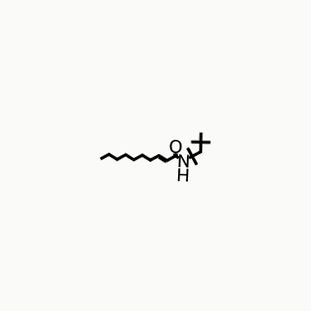 CCCCCCCC=CC(=O)NC(C)(C)CC(C)(C)C